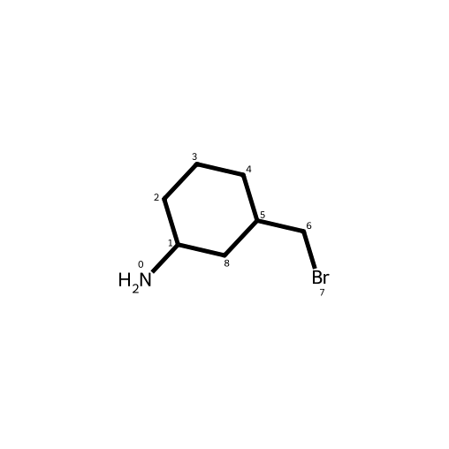 NC1CCCC(CBr)C1